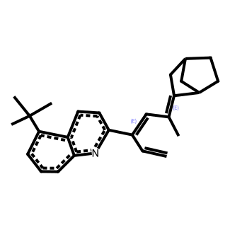 C=C/C(=C\C(C)=C1/CC2CCC1C2)c1ccc2c(C(C)(C)C)cccc2n1